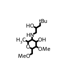 COCC1OC(C)C(NCC(O)CC(C)(C)C)C(O)C1OC